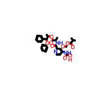 CC(C)C(=O)OCOc1c(NC(=O)O)ccnc1C(=O)NC(C)C(=O)OC(C)C(Oc1ccccc1)c1ccccc1